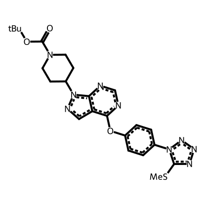 CSc1nnnn1-c1ccc(Oc2ncnc3c2cnn3C2CCN(C(=O)OC(C)(C)C)CC2)cc1